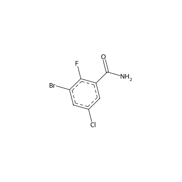 NC(=O)c1cc(Cl)cc(Br)c1F